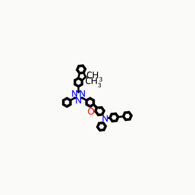 CC1(C)c2ccccc2-c2ccc(-c3nc(-c4ccccc4)nc(-c4ccc5c(c4)oc4cc(N(c6ccccc6)c6ccc(-c7ccccc7)cc6)ccc45)n3)cc21